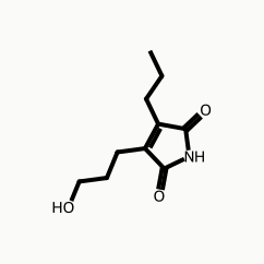 CCCC1=C(CCCO)C(=O)NC1=O